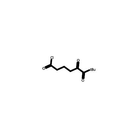 CC(C)(C)C(=O)C(=O)CCCC(=O)Cl